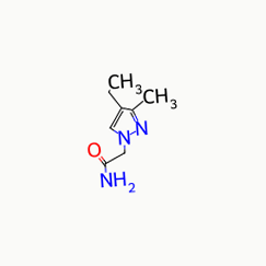 CCc1cn(CC(N)=O)nc1C